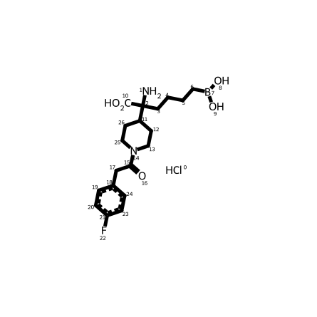 Cl.NC(CCCCB(O)O)(C(=O)O)C1CCN(C(=O)Cc2ccc(F)cc2)CC1